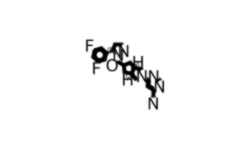 N#Cc1cc(N2C[C@H]3CC(C(=O)N4N=CC[C@@H]4c4cc(F)cc(F)c4)C[C@H]3C2)ncn1